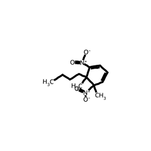 CCCCC1(C)C([N+](=O)[O-])=CC=CC1(C)[N+](=O)[O-]